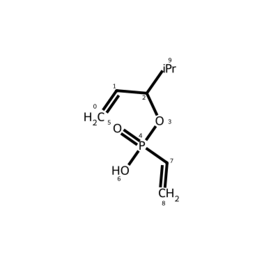 C=CC(OP(=O)(O)C=C)C(C)C